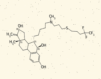 C=C1[C@H](O)CC2C3C(CC[C@]12C)c1ccc(O)cc1[C@H](O)[C@H]3CCCCCN(C)CCCSCCCC(F)(F)C(F)(F)F